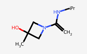 C=C(NC(C)C)N1CC(C)(O)C1